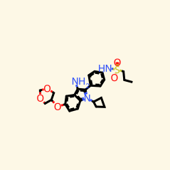 CCCS(=O)(=O)Nc1ccc(-c2c(N)c3cc(OC4COCOC4)ccc3n2C2CCC2)cc1